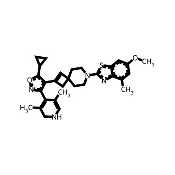 COc1cc(C)c2nc(N3CCC4(C=C(c5c(C6=C(C)CNC=C6C)noc5C5CC5)C4)CC3)sc2c1